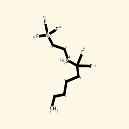 CCCCCC(F)(F)[SiH2]CC[Si](F)(F)F